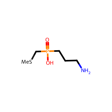 CSCP(=O)(O)CCCN